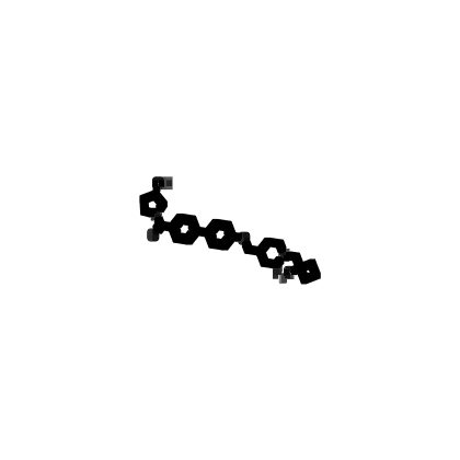 O=C(c1ccc(-c2ccc(OCC3CCN(CC4(C(F)(F)F)CCC4)CC3)cc2)cc1)N1CC[C@@H](O)C1